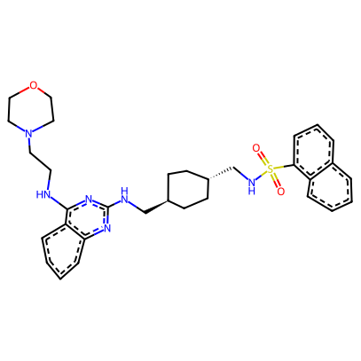 O=S(=O)(NC[C@H]1CC[C@H](CNc2nc(NCCN3CCOCC3)c3ccccc3n2)CC1)c1cccc2ccccc12